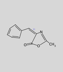 CC1=N/C(=C/c2ccccc2)C(=O)O1